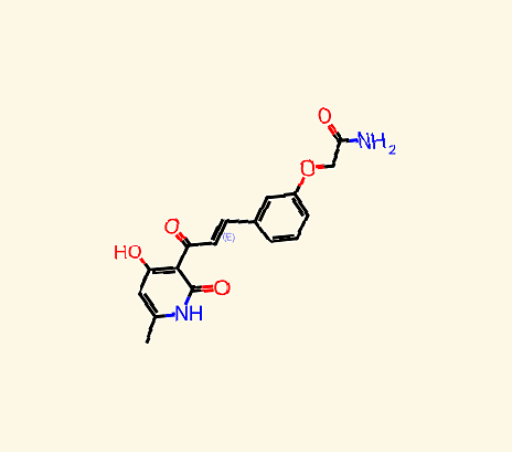 Cc1cc(O)c(C(=O)/C=C/c2cccc(OCC(N)=O)c2)c(=O)[nH]1